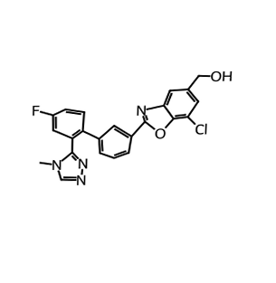 Cn1cnnc1-c1cc(F)ccc1-c1cccc(-c2nc3cc(CO)cc(Cl)c3o2)c1